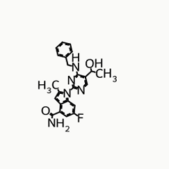 Cc1cc2c(C(N)=O)cc(F)cc2n1-c1ncc(C(C)O)c(NCc2ccccc2)n1